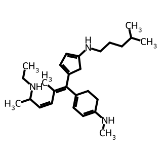 CCNC(C)/C=C\C(C)=C(/C1=CC=C(NC)CC1)C1=CC=C(NCCCC(C)C)C1